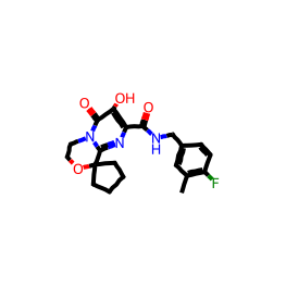 Cc1cc(CNC(=O)c2nc3n(c(=O)c2O)CCOC32CCCC2)ccc1F